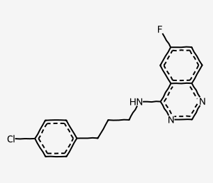 Fc1ccc2ncnc(NCCCc3ccc(Cl)cc3)c2c1